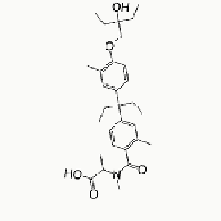 CCC(O)(CC)COc1ccc(C(CC)(CC)c2ccc(C(=O)N(C)C(C)C(=O)O)c(C)c2)cc1C